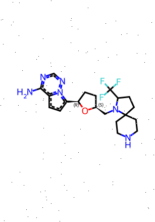 Nc1ncnn2c([C@H]3CC[C@@H](CN4C(C(F)(F)F)CCC45CCNCC5)O3)ccc12